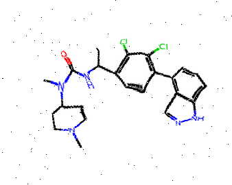 CC(NC(=O)N(C)C1CCN(C)CC1)c1ccc(-c2cccc3[nH]ncc23)c(Cl)c1Cl